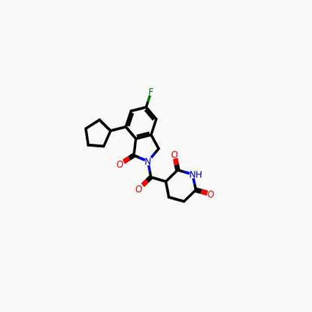 O=C1CCC(C(=O)N2Cc3cc(F)cc(C4CCCC4)c3C2=O)C(=O)N1